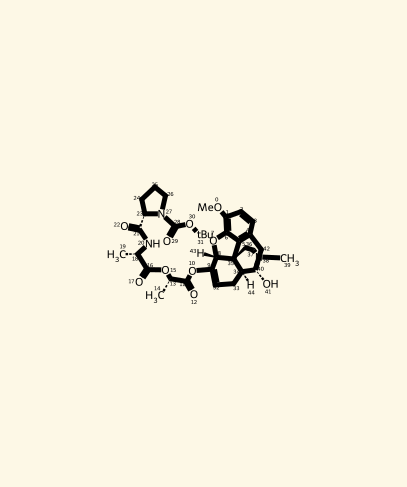 COc1ccc2c3c1O[C@H]1C(OC(=O)[C@H](C)OC(=O)[C@H](C)NC(=O)[C@@H]4CCCN4C(=O)OC(C)(C)C)=CC[C@H]4[C@@]31CCN(C)[C@@]4(O)C2